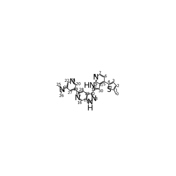 Cc1ccc(-c2ccnc3[nH]c(-c4n[nH]c5cnc(-c6cncc(N(C)C)c6)cc45)cc23)s1